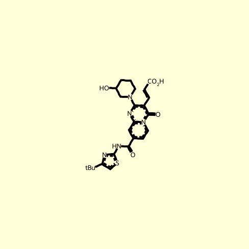 CC(C)(C)c1csc(NC(=O)c2ccn3c(=O)c(C=CC(=O)O)c(N4CCCC(O)C4)nc3c2)n1